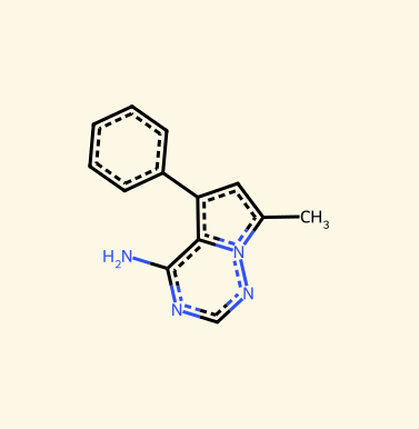 Cc1cc(-c2ccccc2)c2c(N)ncnn12